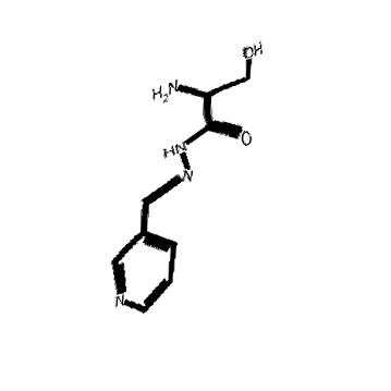 NC(CO)C(=O)N/N=C/c1cccnc1